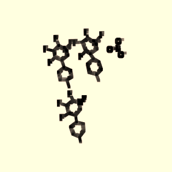 Cc1ccc(-c2c[n+](F)c(F)c(F)c2F)cc1.Cc1ccc(-c2c[n+](F)c(F)c(F)c2F)cc1.Cc1ccc(-c2c[n+](F)c(F)c(F)c2F)cc1.[O-]B([O-])[O-]